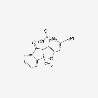 COC(=O)NC12C(=O)c3ccccc3C1(C)Oc1cc(C(C)C)ccc12